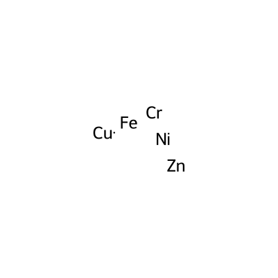 [Cr].[Cu].[Fe].[Ni].[Zn]